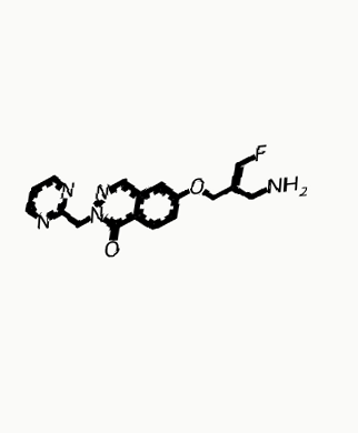 NCC(=CF)COc1ccc2c(=O)n(Cc3ncccn3)ncc2c1